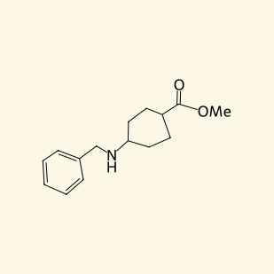 COC(=O)C1CCC(NCc2ccccc2)CC1